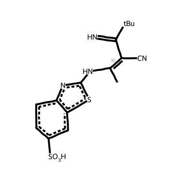 C/C(Nc1nc2ccc(S(=O)(=O)O)cc2s1)=C(\C#N)C(=N)C(C)(C)C